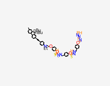 CCCCC1(CCCC)c2cc(C)ccc2-c2ccc(C#Cc3ccc(N(CC)CCOc4ccc(O[PH](=S)N(C)N=Cc5ccc(O[PH](=S)N(C)N=Cc6ccc(O/P=N\P=N\N=P)cc6)cc5)cc4)cc3)cc21